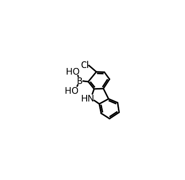 OB(O)c1c(Cl)ccc2c1[nH]c1ccccc12